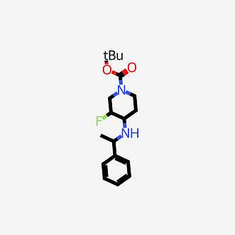 CC(NC1CCN(C(=O)OC(C)(C)C)CC1F)c1ccccc1